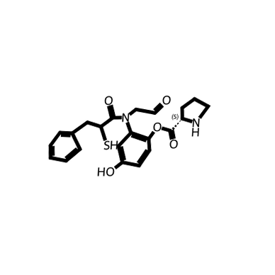 O=CCN(C(=O)C(S)Cc1ccccc1)c1cc(O)ccc1OC(=O)[C@@H]1CCCN1